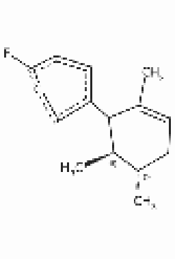 CC1=CC[C@H](C)[C@@H](C)C1c1ccc(F)cc1